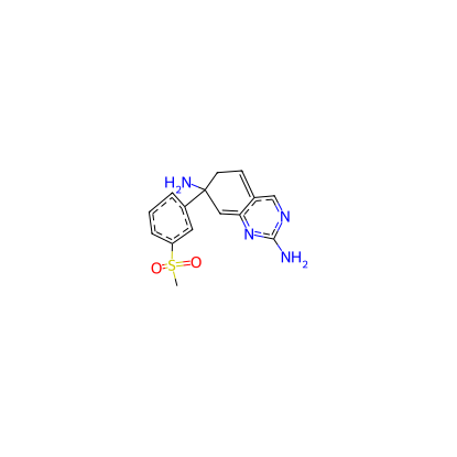 CS(=O)(=O)c1cccc(C2(N)C=c3nc(N)ncc3=CC2)c1